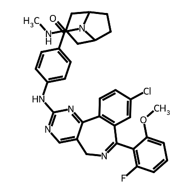 CNC1CC2CCC(C1)N2C(=O)c1ccc(Nc2ncc3c(n2)-c2ccc(Cl)cc2C(c2c(F)cccc2OC)=NC3)cc1